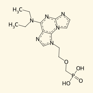 CCN(CC)c1nc2nccn2c2c1ncn2CCOCP(=O)(O)O